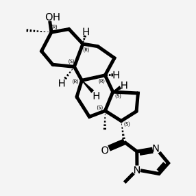 Cn1ccnc1C(=O)[C@H]1CC[C@H]2[C@@H]3CC[C@@H]4C[C@](C)(O)CC[C@@H]4[C@H]3CC[C@]12C